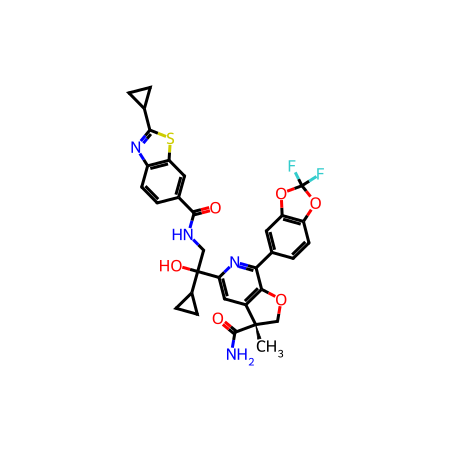 C[C@]1(C(N)=O)COc2c1cc(C(O)(CNC(=O)c1ccc3nc(C4CC4)sc3c1)C1CC1)nc2-c1ccc2c(c1)OC(F)(F)O2